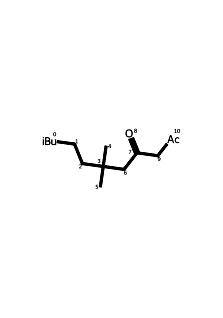 CCC(C)CCC(C)(C)CC(=O)CC(C)=O